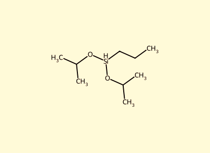 CCC[SiH](OC(C)C)OC(C)C